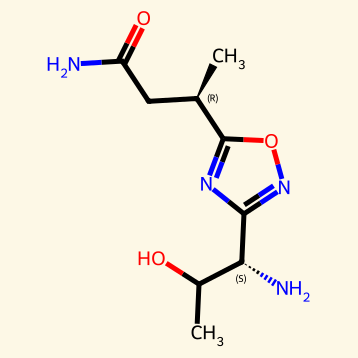 CC(O)[C@@H](N)c1noc([C@H](C)CC(N)=O)n1